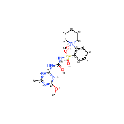 COc1nc(C)nc(NC(=O)NS(=O)(=O)c2ccccc2[N+]2([O-])CCCCC2)n1